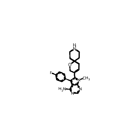 Cn1c(C2=CCC3(CCNCC3)OC2)c(-c2ccc(F)cc2)c2c(N)ncnc21